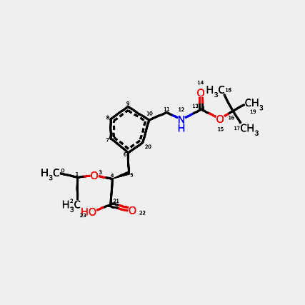 CC(C)O[C@@H](Cc1cccc(CNC(=O)OC(C)(C)C)c1)C(=O)O